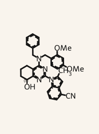 COc1ccc(CN(Cc2ccccc2)c2nc(-n3c(C)cc4c(C#N)cccc43)nc3c2CCC[C@@H]3O)c(OC)c1